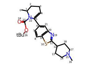 CC1CCC=C(c2ccc3sc(C4CCN(C)CC4)nc3c2)N1C(=O)OC(C)(C)C